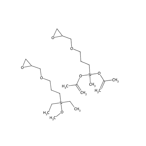 C=C(C)O[Si](C)(CCCOCC1CO1)OC(=C)C.CC[Si](CC)(CCCOCC1CO1)OC